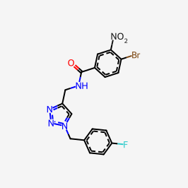 O=C(NCc1cn(Cc2ccc(F)cc2)nn1)c1ccc(Br)c([N+](=O)[O-])c1